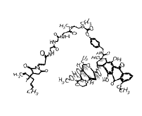 C=CC(I)(CCCC)C1CC(=O)N(CCC(=O)NCC(=O)NCC(=O)NCC(=O)N(C)CCN(C)C(=O)Oc2ccc(CNC(=O)[C@]3(O)Cc4c(O)c5c(c(O)c4[C@@H](O[C@H]4C[C@H]6[C@H](O[C@@H]7[C@@H](OC)OCCN76)[C@H](C)O4)C3)C(=O)c3c(OC)cccc3C5=O)cc2)C1=O